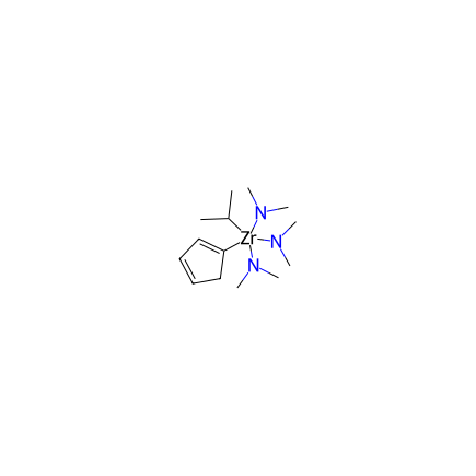 C[CH](C)[Zr]([C]1=CC=CC1)([N](C)C)([N](C)C)[N](C)C